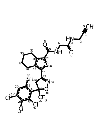 C#CCNC(=O)CNC(=O)c1sc(C2=NOC(c3c(S)cc(Cl)c(Cl)c3Cl)(C(F)(F)F)C2)c2c1CCCC2